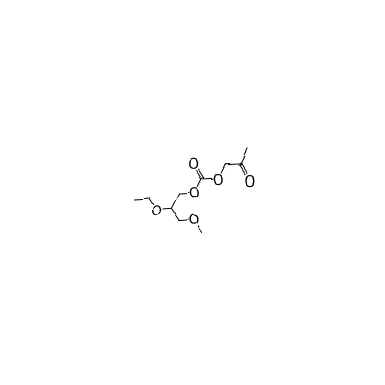 CCOC(COC)COC(=O)OCC(C)=O